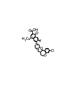 CCn1cc(C(=O)O)c(=O)c2cc(F)c(N3CCN(CC4CCOc5cc(Cl)ccc5C4=O)CC3)cc21